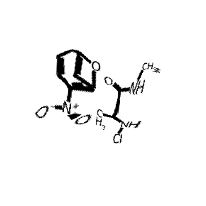 CNC(=O)C(C)NCl.O=[N+]([O-])c1ccc2cc1O2